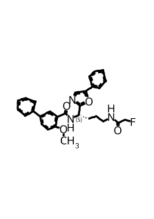 COc1ccc(-c2ccccc2)cc1C(=O)N[C@@H](CCCNC(=O)CF)c1ncc(-c2ccccc2)o1